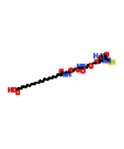 NC(=O)C(CS)NC(=O)COCCOCCNC(=O)COCCOCCNC(=O)CCCCCCCCCCCCCCCCCCCCC(=O)O